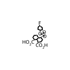 O=C(O)c1cccc2c(S(=O)(=O)Oc3ccc(F)cc3)ccc(C(=O)O)c12